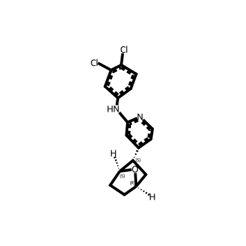 Clc1ccc(Nc2cc([C@@H]3C[C@H]4CC[C@@H]3O4)ccn2)cc1Cl